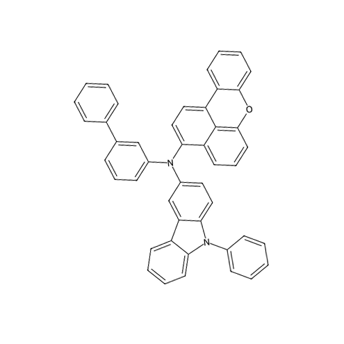 c1ccc(-c2cccc(N(c3ccc4c(c3)c3ccccc3n4-c3ccccc3)c3ccc4c5c(cccc35)Oc3ccccc3-4)c2)cc1